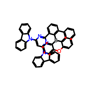 c1ccc(-c2cccc(-c3nc(-n4c5ccccc5c5ccccc54)cc(-n4c5ccccc5c5ccccc54)n3)c2B2c3ccccc3Oc3ccccc32)cc1